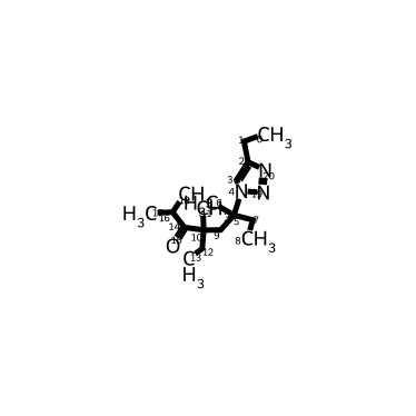 CCc1cn(C(C)(CC)CC(C)(CC)C(=O)C(C)C)nn1